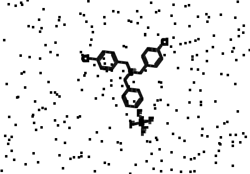 Clc1ccc(C[S+](Cc2ccccc2)Cc2ccc(Cl)cc2)cc1.F[B-](F)(F)F